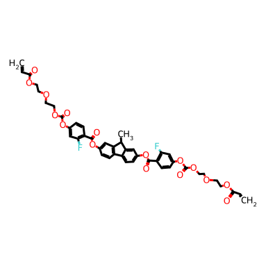 C=CC(=O)OCCOCCOC(=O)Oc1ccc(C(=O)Oc2ccc3c(c2)C(C)c2cc(OC(=O)c4ccc(OC(=O)OCCOCCOC(=O)C=C)cc4F)ccc2-3)c(F)c1